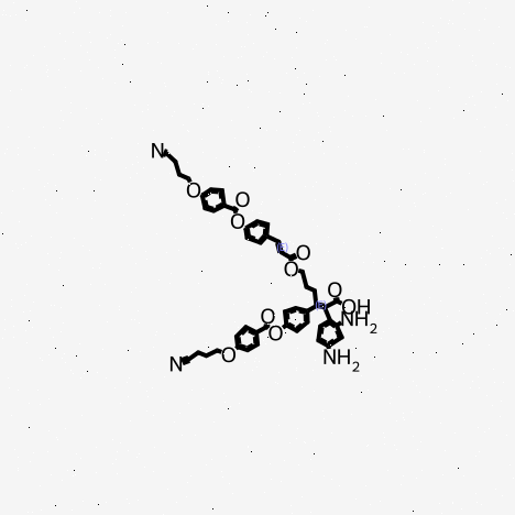 N#CCCCOc1ccc(C(=O)Oc2ccc(/C=C/C(=O)OCCC/C(=C(\C(=O)O)c3ccc(N)cc3N)c3ccc(OC(=O)c4ccc(OCCCC#N)cc4)cc3)cc2)cc1